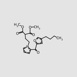 CCCCc1coc(C(=O)c2cccn2CCC(C(=O)OC)C(=O)OC)c1